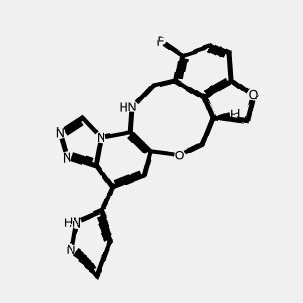 Fc1ccc2c3c1CNc1c(cc(-c4ccn[nH]4)c4nncn14)OC[C@H]3CO2